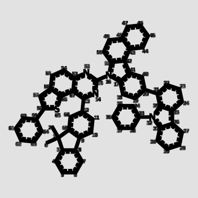 CC1(C)c2ccccc2-c2ccc(-c3nc(-n4c5ccc(-c6cccc7c8ccccc8n(-c8ccccc8)c67)cc5c5c6ccccc6ccc54)nc4ccc5cc(-c6ccccc6)sc5c34)cc21